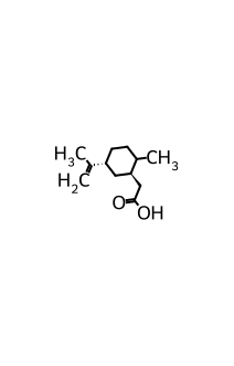 C=C(C)[C@@H]1CCC(C)[C@@H](CC(=O)O)C1